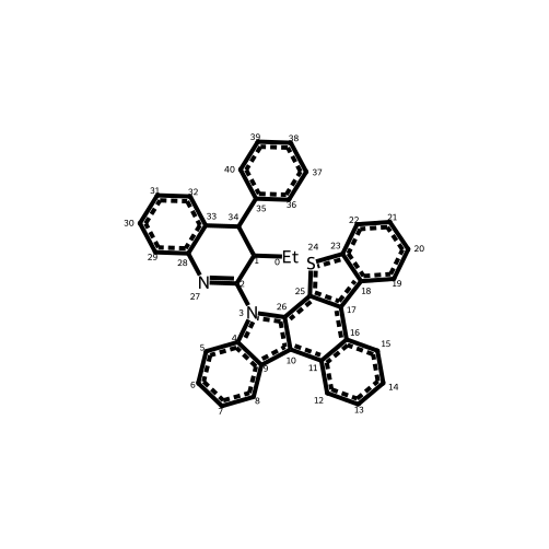 CCC1C(n2c3ccccc3c3c4ccccc4c4c5ccccc5sc4c32)=Nc2ccccc2C1c1ccccc1